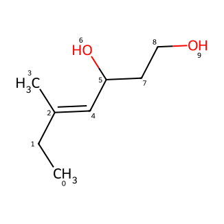 CCC(C)=CC(O)CCO